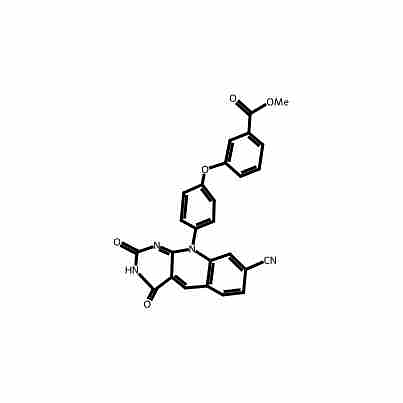 COC(=O)c1cccc(Oc2ccc(-n3c4nc(=O)[nH]c(=O)c-4cc4ccc(C#N)cc43)cc2)c1